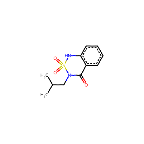 CC(C)CN1C(=O)c2ccccc2NS1(=O)=O